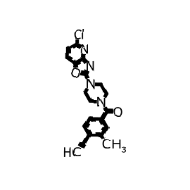 C#Cc1ccc(C(=O)N2CCN(c3nc4nc(Cl)ccc4o3)CC2)cc1C